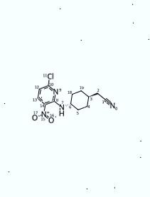 N#CC[C@H]1CC[C@H](Nc2nc(Cl)ccc2[N+](=O)[O-])CC1